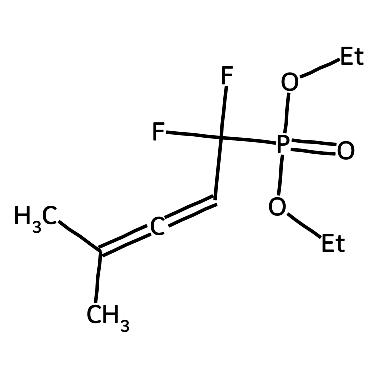 CCOP(=O)(OCC)C(F)(F)C=C=C(C)C